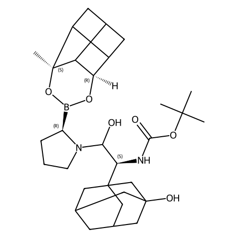 CC(C)(C)OC(=O)N[C@H](C(O)N1CCC[C@H]1B1O[C@@H]2C3CC4CC5C43C2[C@@]5(C)O1)C12CC3CC(CC(O)(C3)C1)C2